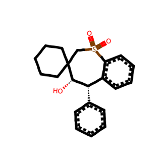 O=S1(=O)CC2(CCCCC2)[C@@H](O)[C@@H](c2ccccc2)c2ccccc21